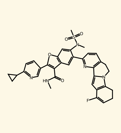 CNC(=O)c1c(-c2ccc(C3CC3)nc2)oc2cc(N(C)S(C)(=O)=O)c(-c3ccc4c(n3)-c3cc5c(n3CC4)CCC=C5F)cc12